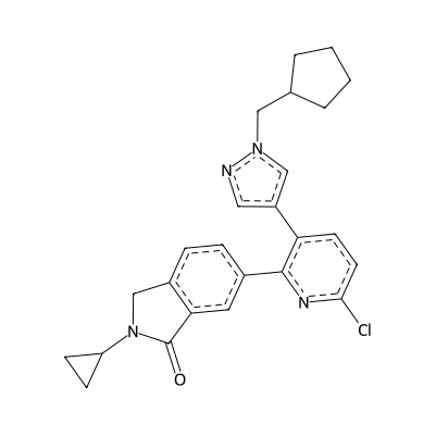 O=C1c2cc(-c3nc(Cl)ccc3-c3cnn(CC4CCCC4)c3)ccc2CN1C1CC1